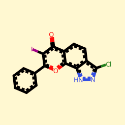 O=c1c(I)c(-c2ccccc2)oc2c1ccc1c(Cl)n[nH]c12